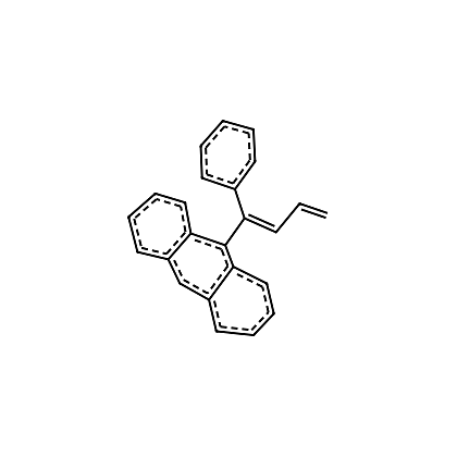 C=CC=C(c1ccccc1)c1c2ccccc2cc2ccccc12